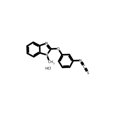 Cl.Cn1c(Oc2cccc(N=C=S)c2)nc2ccccc21